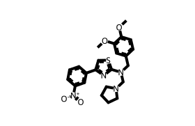 COc1ccc(CN(CN2CCCC2)c2nc(-c3cccc([N+](=O)[O-])c3)cs2)cc1OC